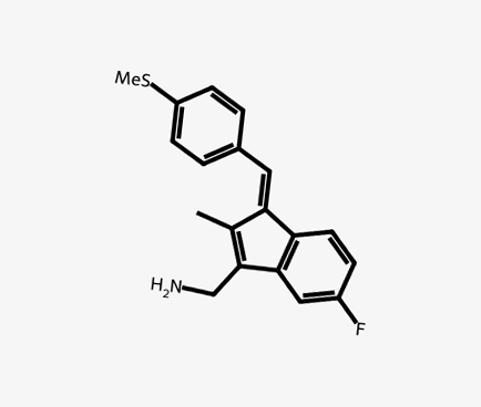 CSc1ccc(/C=C2\C(C)=C(CN)c3cc(F)ccc32)cc1